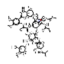 C=C(OC)C(=O)Nc1cc(OC)c(OC)cc1C(=O)O[C@@H]1C[C@H](O[C@@H]2C(=O)C(NC(=O)CC)=C3/C(=C\CSSSC)[C@]2(O)C=C[C@@H]3O[C@H]2O[C@H](C)[C@@H](NO[C@H]3C[C@H](O)[C@H](SC)[C@@H](C)O3)[C@H](O)[C@@H]2O[C@@H]2C[C@H](OC)C(NC(C)C)CO2)C[C@H](C)[C@@H]1O